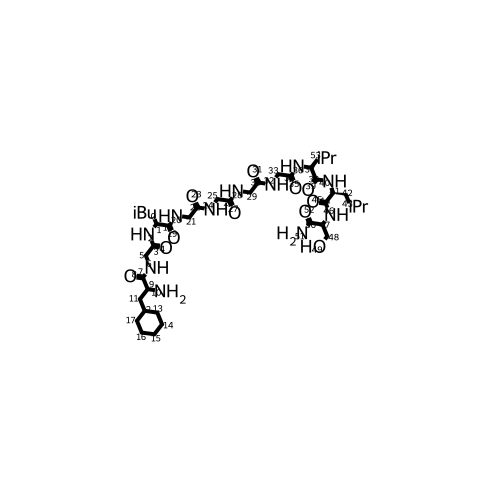 CCC(C)C(NC(=O)CNC(=O)C(N)CC1CCCCC1)C(=O)NCC(=O)NCC(=O)NCC(=O)NCC(=O)NC(C(=O)N[C@@H](CC(C)C)C(=O)NC(CO)C(N)=O)C(C)C